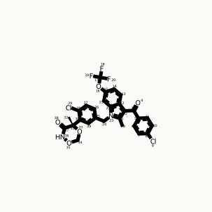 Cc1c(C(=O)c2ccc(Cl)cc2)c2ccc(OC(F)(F)F)cc2n1Cc1ccc(Cl)c([C@]2(C)OCONC2=O)c1